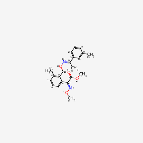 CO/N=C(/C(=O)OC)c1cccc(C)c1CO/N=C(\C)c1cccc(C)c1